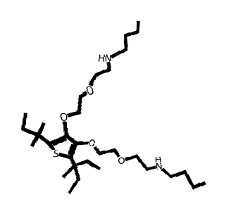 CCCCNCCOCCOc1c(C(C)(C)CC)sc(C(C)(CC)CC)c1OCCOCCNCCCC